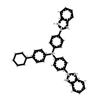 c1ccc2nn(-c3ccc(N(c4ccc(C5CCCCC5)cc4)c4ccc(-n5nc6ccccc6n5)cc4)cc3)nc2c1